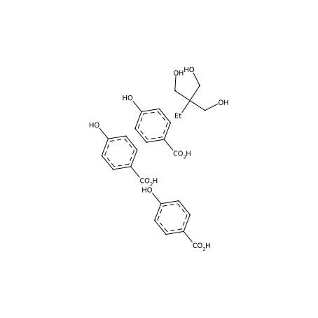 CCC(CO)(CO)CO.O=C(O)c1ccc(O)cc1.O=C(O)c1ccc(O)cc1.O=C(O)c1ccc(O)cc1